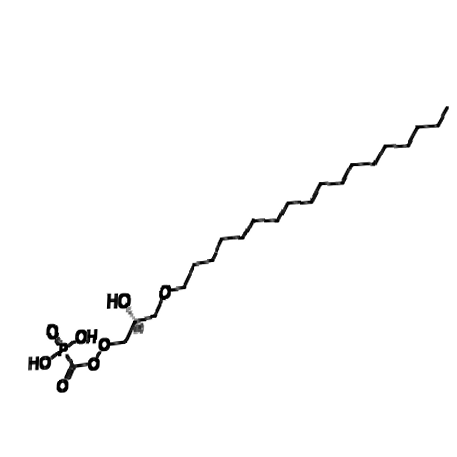 CCCCCCCCCCCCCCCCCCOC[C@@H](O)COOC(=O)P(=O)(O)O